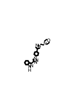 c1ccc2c(-c3cn(-c4ccc(-c5cnn(CCN6CCOCC6)c5)cc4)nn3)n[nH]c2c1